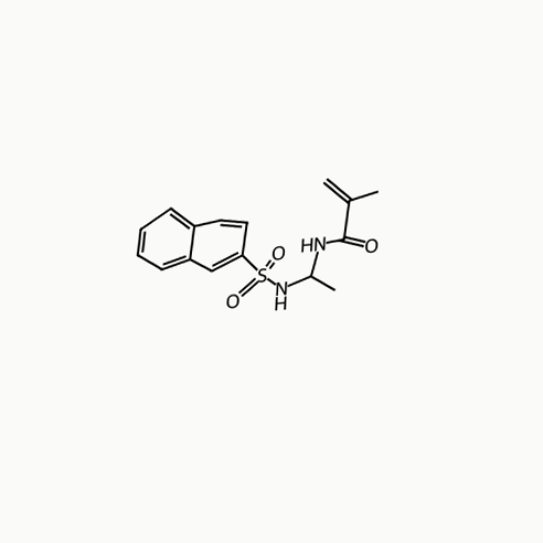 C=C(C)C(=O)NC(C)NS(=O)(=O)c1ccc2ccccc2c1